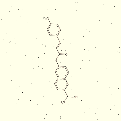 N=C(N)c1ccc2cc(OC(=O)/C=C/c3ccc(N)cc3)ccc2c1